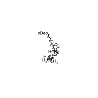 CCCCCCCCCCCCCCOC[C@H](CO[P@](=O)(O)OCC[N+](C)(C)C)OO